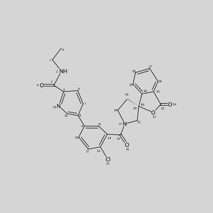 CCNC(=O)c1ccc(-c2ccc(Cl)c(C(=O)N3CC[C@@]4(C3)OC(=O)c3ccccc34)c2)cn1